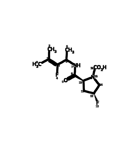 CC(C)=C(F)C(C)NC(=O)[C@@H]1C[C@@H](F)CN1C(=O)O